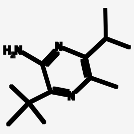 Cc1nc(C(C)(C)C)c(N)nc1C(C)C